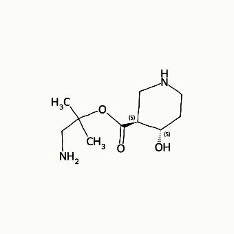 CC(C)(CN)OC(=O)[C@H]1CNCC[C@@H]1O